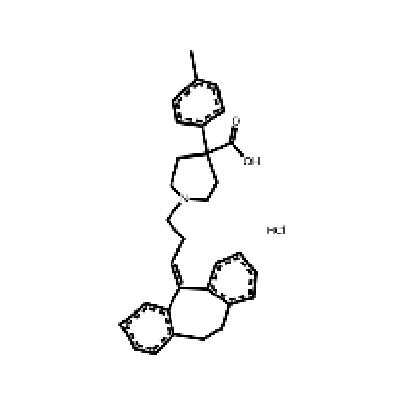 Cc1ccc(C2(C(=O)O)CCN(CCC=C3c4ccccc4CCc4ccccc43)CC2)cc1.Cl